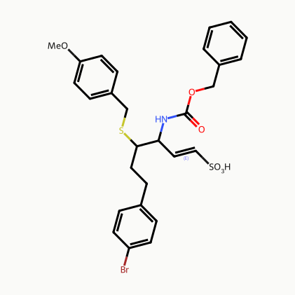 COc1ccc(CSC(CCc2ccc(Br)cc2)C(/C=C/S(=O)(=O)O)NC(=O)OCc2ccccc2)cc1